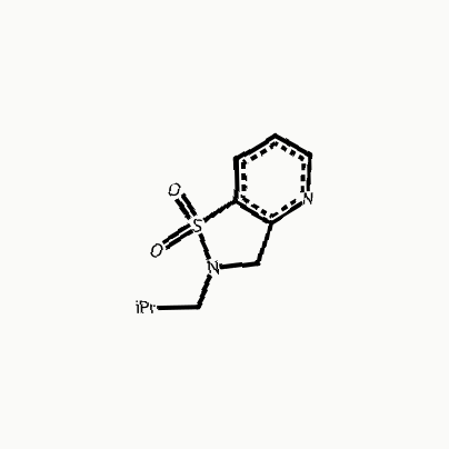 CC(C)CN1Cc2ncccc2S1(=O)=O